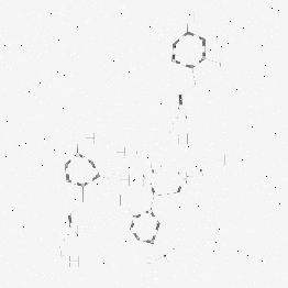 CON=CC(=NOC)c1cc(C(F)(F)F)ccc1F.CON=CCc1ccc(C)cc1C.CON=CCc1ccc(Cl)cc1Cl